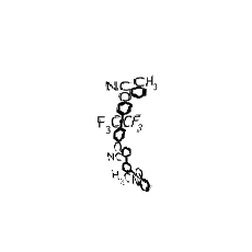 Cc1ccc(-c2cccc(Oc3ccc(C(c4ccc(Oc5cccc(C)c5C#N)cc4)(C(F)(F)F)C(F)(F)F)cc3)c2C#N)cc1-c1nc2ccccc2o1